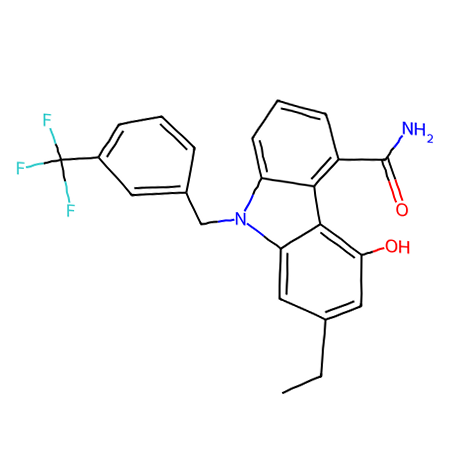 CCc1cc(O)c2c3c(C(N)=O)cccc3n(Cc3cccc(C(F)(F)F)c3)c2c1